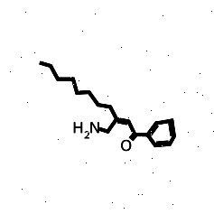 CCCCCCCCC(=CC(=O)c1ccccc1)CN